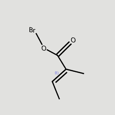 C/C=C(\C)C(=O)OBr